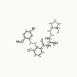 COc1ccc(Br)cc1CCc1c(Cl)cccc1C(=O)NC(=N)NCCC1CCCN1C